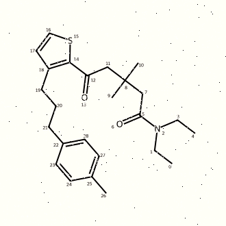 CCN(CC)C(=O)CC(C)(C)CC(=O)c1sccc1CCCc1ccc(C)cc1